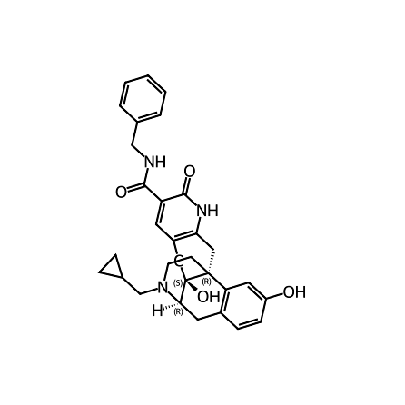 O=C(NCc1ccccc1)c1cc2c([nH]c1=O)C[C@]13CCN(CC4CC4)[C@H](Cc4ccc(O)cc41)[C@]3(O)C2